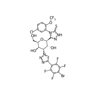 OC[C@H]1O[C@@H](c2n[nH]c(=S)n2-c2cc(Cl)ccc2OC(F)(F)F)[C@H](O)[C@@H](n2cc(-c3c(F)c(F)c(Br)c(F)c3F)nn2)[C@H]1O